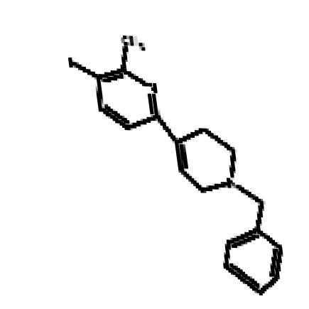 Cc1nc(C2=CCN(Cc3ccccc3)CC2)ccc1I